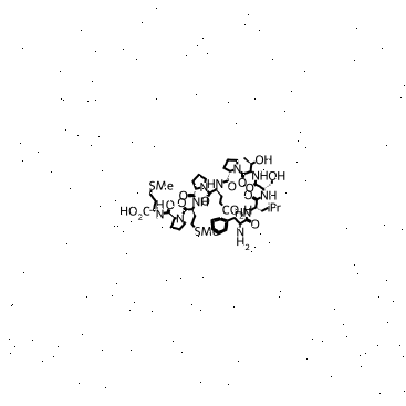 CSCC[C@H](NC(=O)[C@@H]1CCCN1C(=O)[C@H](CCSC)NC(=O)[C@@H]1CCCN1C(=O)[C@H](CCC(=O)O)NC(=O)[C@@H]1CCCN1C(=O)[C@@H](NC(=O)[C@H](CO)NC(=O)[C@H](CC(C)C)NC(=O)[C@@H](N)Cc1ccccc1)[C@@H](C)O)C(=O)O